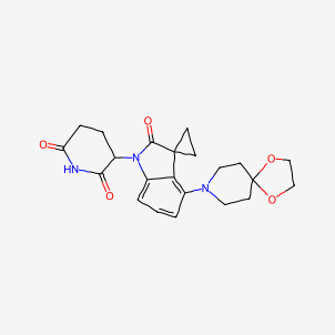 O=C1CCC(N2C(=O)C3(CC3)c3c(N4CCC5(CC4)OCCO5)cccc32)C(=O)N1